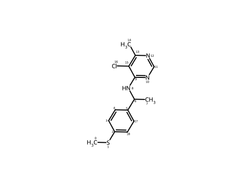 CSc1ccc(C(C)Nc2ncnc(C)c2Cl)cc1